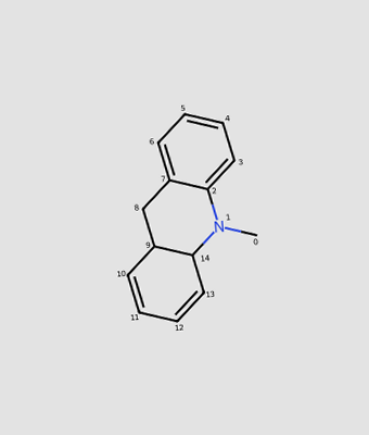 CN1c2ccccc2CC2C=CC=CC21